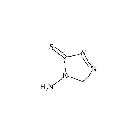 NN1CN=NC1=S